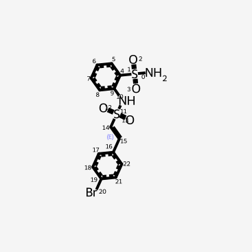 NS(=O)(=O)c1ccccc1NS(=O)(=O)/C=C/c1ccc(Br)cc1